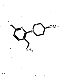 COC1CCN(c2nc(C)ccc2CN)CC1